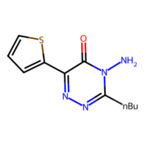 CCCCc1nnc(-c2cccs2)c(=O)n1N